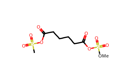 COS(=O)(=O)OC(=O)CCCCC(=O)OS(C)(=O)=O